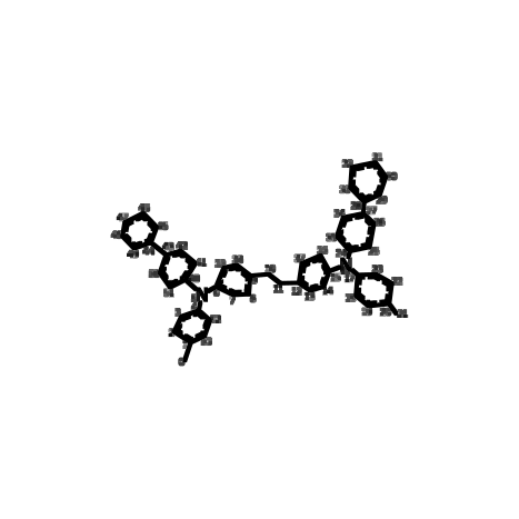 Cc1ccc(N(c2ccc(CCc3ccc(N(c4ccc(C)cc4)c4ccc(-c5ccccc5)cc4)cc3)cc2)c2ccc(-c3ccccc3)cc2)cc1